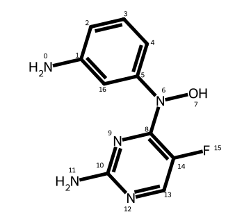 Nc1cccc(N(O)c2nc(N)ncc2F)c1